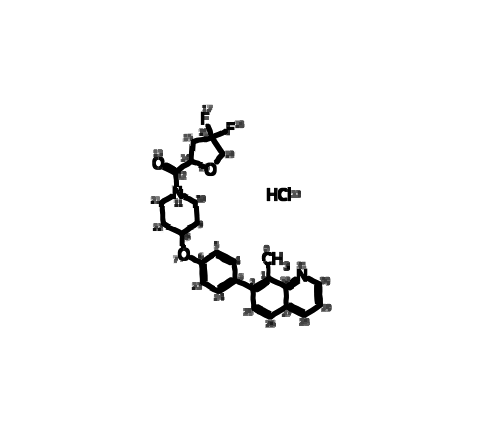 Cc1c(-c2ccc(OC3CCN(C(=O)C4CC(F)(F)CO4)CC3)cc2)ccc2cccnc12.Cl